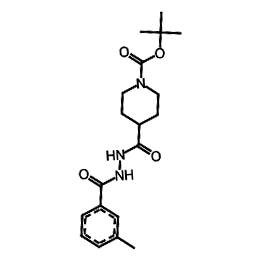 Cc1cccc(C(=O)NNC(=O)C2CCN(C(=O)OC(C)(C)C)CC2)c1